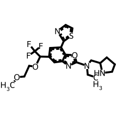 CCN(CC1CCCN1)c1nc2cc(C(OCCOC)C(F)(F)F)cc(-c3nccs3)c2o1